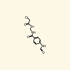 O=CNc1ccc(C(=O)N[CH2][Sn][C](=O)CCl)cc1